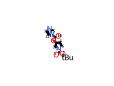 CC(C)(C)OC(=O)N1CCC(OC(=O)n2ccnc2)C1